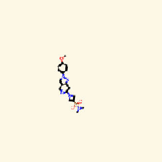 COc1ccc(-n2cc3cnc(N4CC(S(=O)(=O)N(C)C)C4)cc3n2)cc1